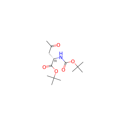 CC(=O)C[C@H](NC(=O)OC(C)(C)C)C(=O)OC(C)(C)C